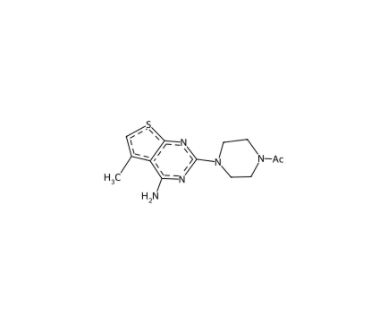 CC(=O)N1CCN(c2nc(N)c3c(C)csc3n2)CC1